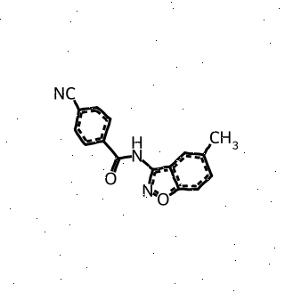 Cc1ccc2onc(NC(=O)c3ccc(C#N)cc3)c2c1